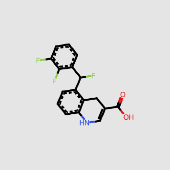 O=C(O)C1=CNc2cccc(C(F)c3cccc(F)c3F)c2C1